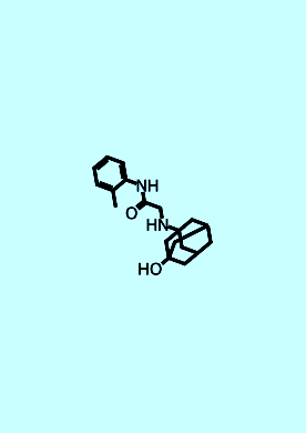 Cc1ccccc1NC(=O)CNC12CC3CC(CC(O)(C3)C1)C2